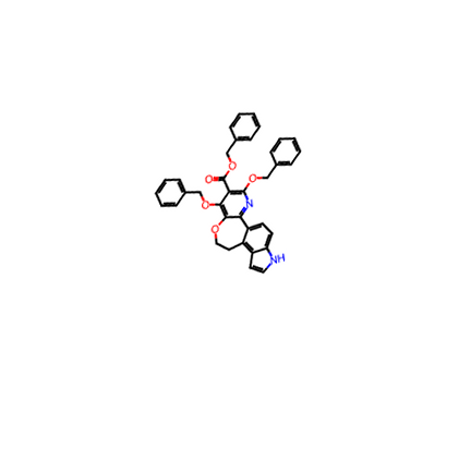 O=C(OCc1ccccc1)c1c(OCc2ccccc2)nc2c(c1OCc1ccccc1)OCCc1c-2ccc2[nH]ccc12